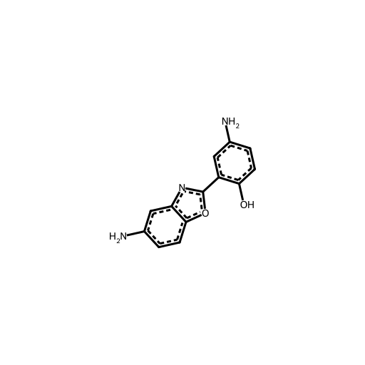 Nc1ccc(O)c(-c2nc3cc(N)ccc3o2)c1